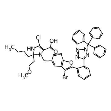 CCCCC1(CCOC)NC(Cl)=C(C(=O)O)N1Cc1ccc2oc(-c3ccccc3-c3nnn(C(c4ccccc4)(c4ccccc4)c4ccccc4)n3)c(Br)c2c1